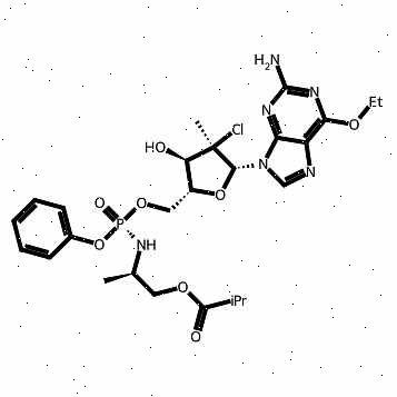 CCOc1nc(N)nc2c1ncn2[C@@H]1O[C@H](CO[P@@](=O)(N[C@H](C)COC(=O)C(C)C)Oc2ccccc2)[C@@H](O)[C@@]1(C)Cl